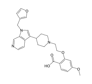 COc1ccc(C(=O)O)c(OCCN2CCC(c3cn(Cc4ccoc4)c4cnccc34)CC2)c1